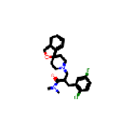 CN(C)C(=O)C(Cc1cc(F)ccc1Cl)CN1CCC2(CC1)OCc1ccccc12